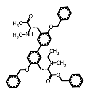 CCN(C)[C@@H](Cc1cc(-c2ccc(OCc3ccccc3)c(C[C@H](NC)C(C)=O)c2)ccc1OCc1ccccc1)C(=O)OCc1ccccc1